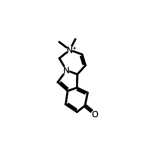 C[N+]1(C)C=CC2C3=CC(=O)C=CC3=CN2C1